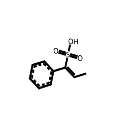 CC=C(c1ccccc1)S(=O)(=O)O